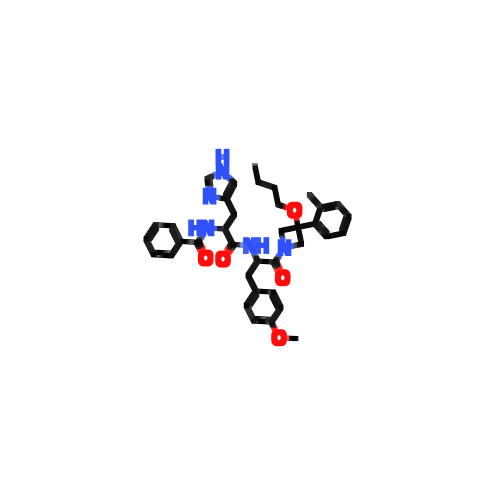 CCCCOC1(c2ccccc2C)CN(C(=O)C(Cc2ccc(OC)cc2)NC(=O)C(Cc2c[nH]cn2)NC(=O)c2ccccc2)C1